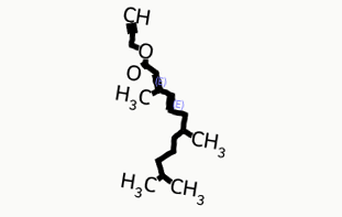 C#CCOC(=O)/C=C(C)/C=C/CC(C)CCCC(C)C